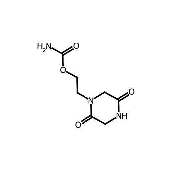 NC(=O)OCCN1CC(=O)NCC1=O